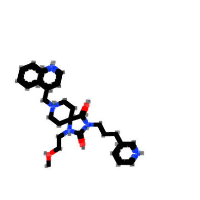 COCCN1C(=O)N(CCCc2cccnc2)C(=O)C12CCN(Cc1ccnc3ccccc13)CC2